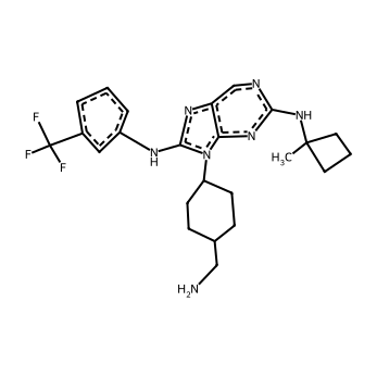 CC1(Nc2ncc3nc(Nc4cccc(C(F)(F)F)c4)n(C4CCC(CN)CC4)c3n2)CCC1